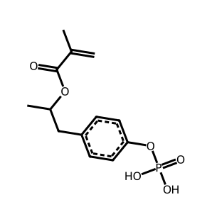 C=C(C)C(=O)OC(C)Cc1ccc(OP(=O)(O)O)cc1